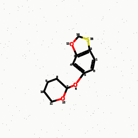 c1cc2c(cc1OC1CCCCO1)OCS2